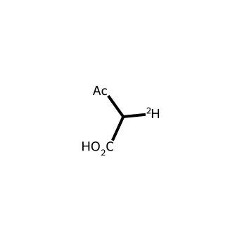 [2H]C(C(C)=O)C(=O)O